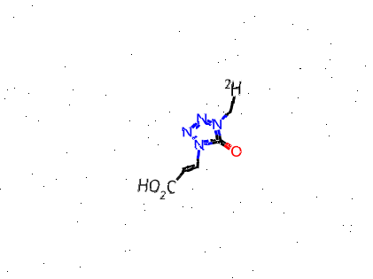 [2H]Cn1nnn(/C=C/C(=O)O)c1=O